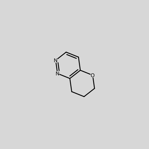 c1cc2c(nn1)CCCO2